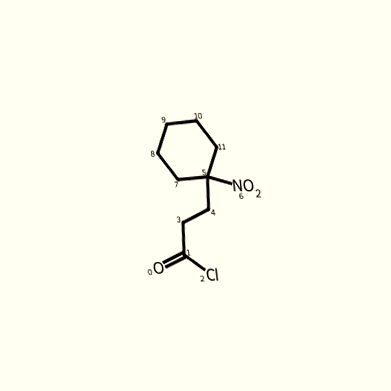 O=C(Cl)CCC1([N+](=O)[O-])CCCCC1